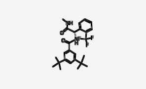 CNC(=O)[C@@H](NC(=O)c1cc(C(C)(C)C)cc(C(C)(C)C)c1)c1ccccc1C(F)(F)F